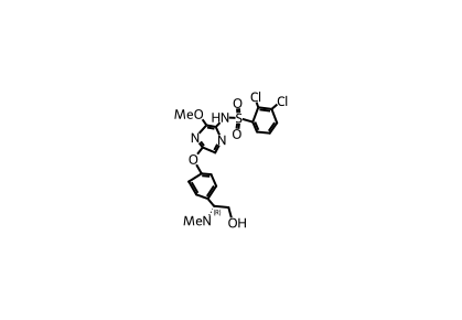 CN[C@@H](CO)c1ccc(Oc2cnc(NS(=O)(=O)c3cccc(Cl)c3Cl)c(OC)n2)cc1